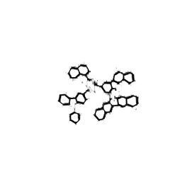 c1ccc(-n2c3ccccc3c3cc(-c4nc(-c5cc(-n6c7cc8ccccc8cc7c7cc8ccccc8cc76)c6oc7c8ccccc8ccc7c6c5)nc(-c5cccc6ccccc56)n4)ccc32)cc1